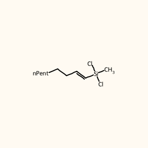 CCCCCCCC=C[Si](C)(Cl)Cl